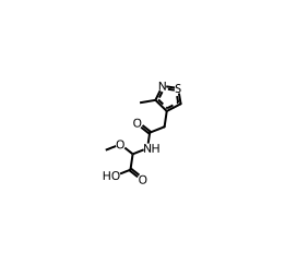 COC(NC(=O)Cc1csnc1C)C(=O)O